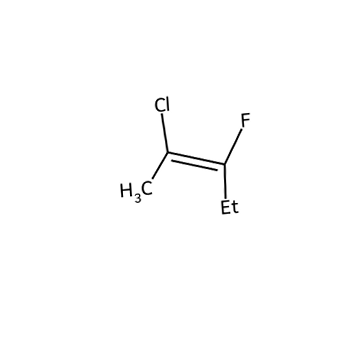 CC/C(F)=C(\C)Cl